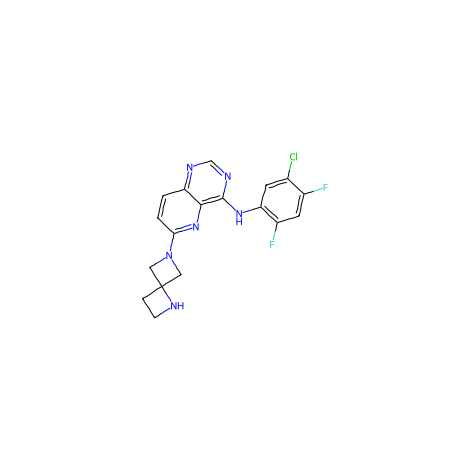 Fc1cc(F)c(Nc2ncnc3ccc(N4CC5(CCN5)C4)nc23)cc1Cl